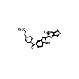 COCCN1CCN(C(=O)c2cc3cc(-c4nc5cscc5[nH]c4=O)[nH]c3cc2F)CC1